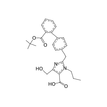 CCCn1c(Cc2ccc(-c3ccccc3C(=O)OC(C)(C)C)cc2)nc(CO)c1C(=O)O